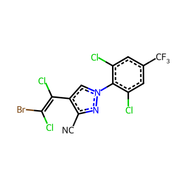 N#Cc1nn(-c2c(Cl)cc(C(F)(F)F)cc2Cl)cc1/C(Cl)=C(\Cl)Br